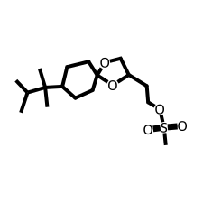 CC(C)C(C)(C)C1CCC2(CC1)OCC(CCOS(C)(=O)=O)O2